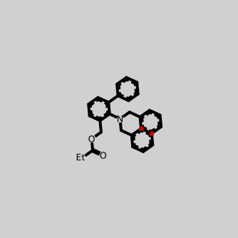 CCC(=O)OCc1cccc(-c2ccccc2)c1N(Cc1ccccc1)Cc1ccccc1